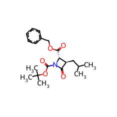 CC(C)C[C@H]1C(=O)N(C(=O)OC(C)(C)C)[C@@H]1C(=O)OCc1ccccc1